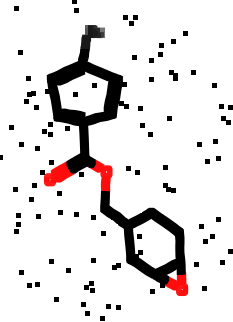 CCC(C)c1ccc(C(=O)OCC2CCC3OC3C2)cc1